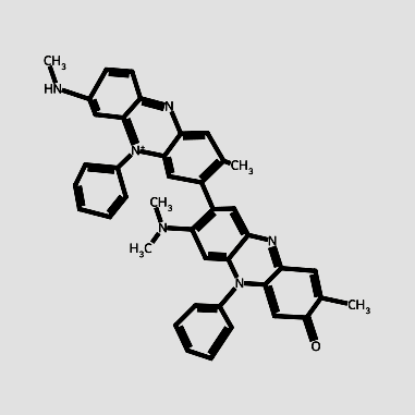 CNc1ccc2nc3cc(C)c(-c4cc5nc6cc(C)c(=O)cc-6n(-c6ccccc6)c5cc4N(C)C)cc3[n+](-c3ccccc3)c2c1